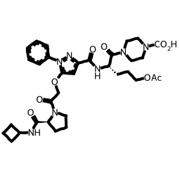 CC(=O)OCCC[C@H](NC(=O)c1cc(OCC(=O)N2CCC[C@H]2C(=O)NC2CCC2)n(-c2ccccc2)n1)C(=O)N1CCN(C(=O)O)CC1